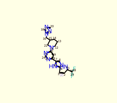 N=C(/C=C\c1ncc(-c2cc(N3CCCC(Cn4cncn4)C3)ncn2)[nH]1)C(F)F